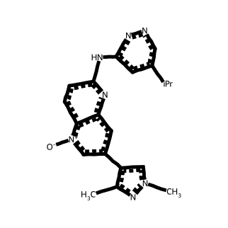 Cc1nn(C)cc1-c1cc2nc(Nc3cc(C(C)C)cnn3)ccc2[n+]([O-])c1